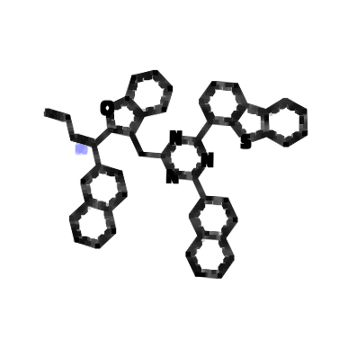 C=C/C=C(/c1ccc2ccccc2c1)c1oc2ccccc2c1Cc1nc(-c2ccc3ccccc3c2)nc(-c2cccc3c2sc2ccccc23)n1